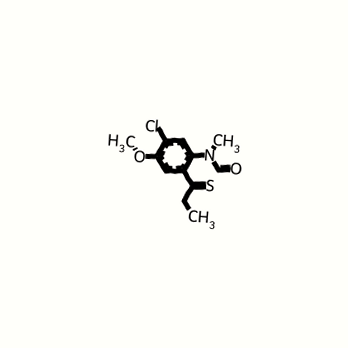 CCC(=S)c1cc(OC)c(Cl)cc1N(C)C=O